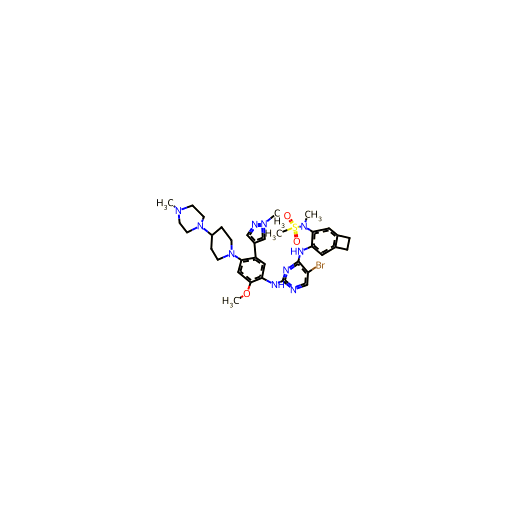 COc1cc(N2CCC(N3CCN(C)CC3)CC2)c(-c2cnn(C)c2)cc1Nc1ncc(Br)c(Nc2cc3c(cc2N(C)S(C)(=O)=O)CC3)n1